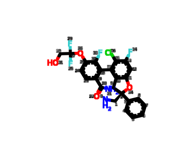 NC[C@@]1(c2ccccc2)Cc2c(cc(F)c(Cl)c2-c2c(C(N)=O)ccc(OC(F)(F)CO)c2F)O1